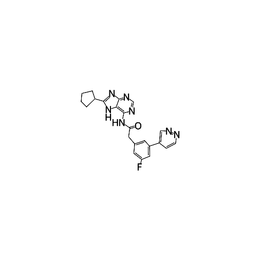 O=C(Cc1cc(F)cc(-c2ccnnc2)c1)Nc1ncnc2nc(C3CCCC3)[nH]c12